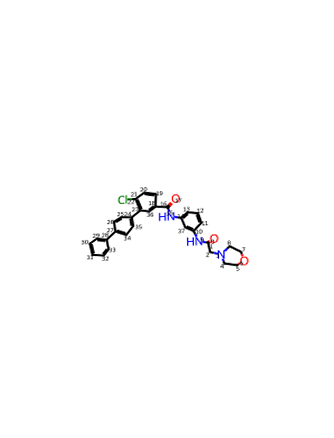 O=C(CN1CCOCC1)Nc1cccc(NC(=O)c2ccc(Cl)c(-c3ccc(-c4ccccc4)cc3)c2)c1